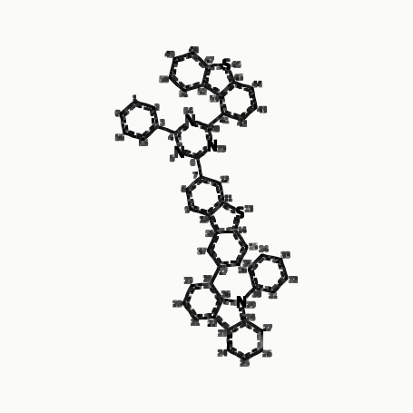 c1ccc(-c2nc(-c3ccc4c(c3)sc3ccc(-c5cccc6c7ccccc7n(-c7ccccc7)c56)cc34)nc(-c3cccc4sc5ccccc5c34)n2)cc1